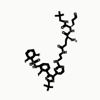 CC(C)(C)CNC(=O)[C@H](CCC=O)NC(=O)[C@@H](N)CCC(=O)NCCNc1nccc(-c2sc(C(C)(C)C)nc2-c2cccc(NS(=O)(=O)c3c(F)cccc3F)c2F)n1